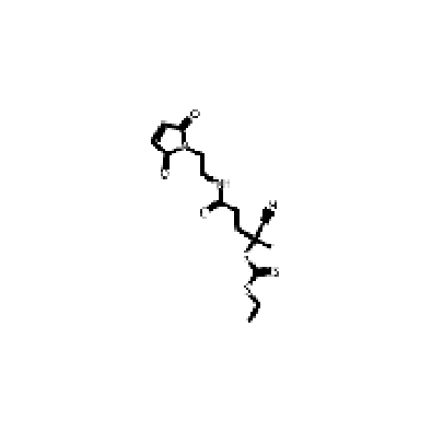 CCSC(=S)SC(C)(C#N)CCC(=O)NCCN1C(=O)C=CC1=O